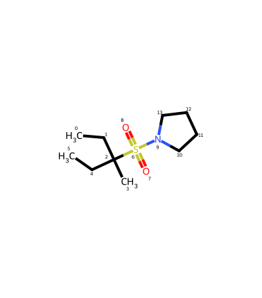 CCC(C)(CC)S(=O)(=O)N1CCCC1